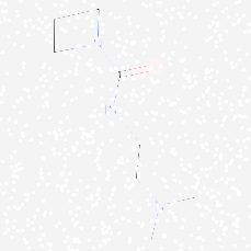 CN(C)CCNC(=O)N1CCC1